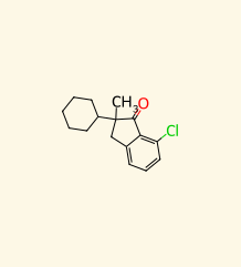 CC1(C2CCCCC2)Cc2cccc(Cl)c2C1=O